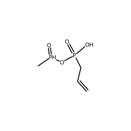 C=CCP(=O)(O)O[PH](C)=O